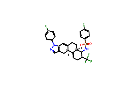 C[C@]12Cc3cnn(-c4ccc(F)cc4)c3C=C1CC[C@H]1C2=CCC(C(F)(F)F)C1NS(=O)(=O)c1ccc(F)cc1